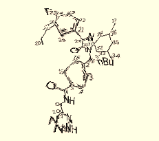 CCCC[C@H](c1ccc(C(=O)NCc2nn[nH]n2)cc1)N1C(=O)C(c2ccc(F)c(CI)c2)=NC12CC(C)CC(C)C2